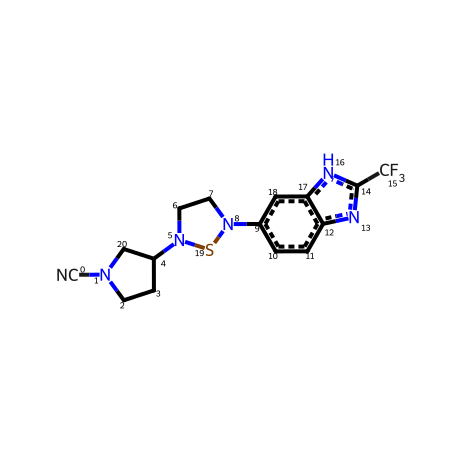 N#CN1CCC(N2CCN(c3ccc4nc(C(F)(F)F)[nH]c4c3)S2)C1